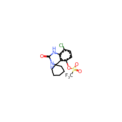 O=C1Nc2c(Cl)ccc(OS(=O)(=O)C(F)(F)F)c2C2(CCCCC2)N1